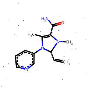 C=CC1N(C)C(C(N)=O)=C(C)N1c1cccnc1